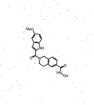 COc1ccc2[nH]c(C(=O)N3CCc4cc(C(=O)NO)ccc4C3)cc2c1